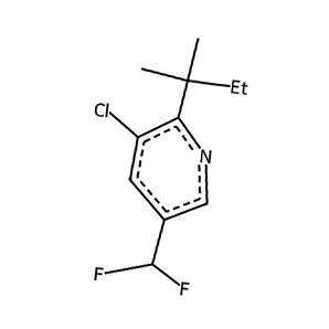 CCC(C)(C)c1ncc(C(F)F)cc1Cl